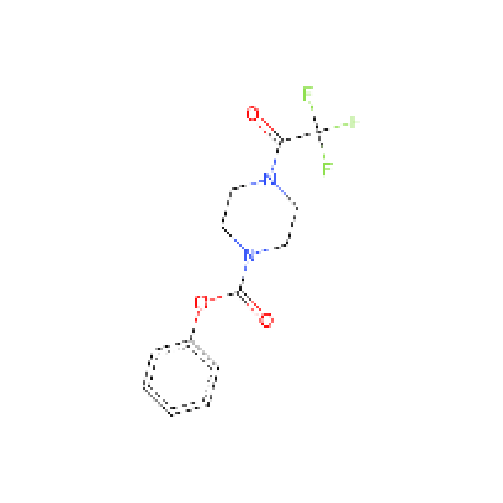 O=C(Oc1ccccc1)N1CCN(C(=O)C(F)(F)F)CC1